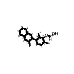 Cc1ccc(-c2cc3ccccc3cc2F)c(C)c1OBO